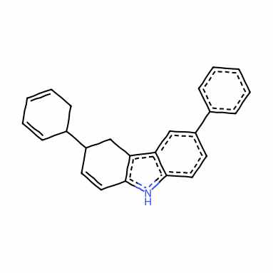 C1=CCC(C2C=Cc3[nH]c4ccc(-c5ccccc5)cc4c3C2)C=C1